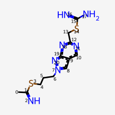 CC(=N)SCCCn1cc2cnc(CSC(=N)N)nc2n1